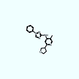 Cc1cnc(C2CCOC2)cc1Nc1ncn(-c2ccccc2)n1